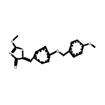 COc1ccc(COc2ccc(/C=C3\SC(SC)=NC3=O)cc2)cc1